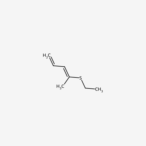 C=C/C=C(\C)SCC